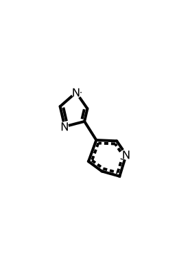 C1=NC(c2cccnc2)=C[N]1